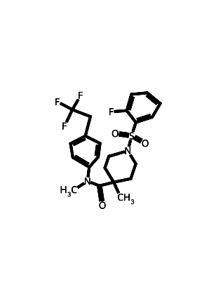 CN(C(=O)C1(C)CCN(S(=O)(=O)c2ccccc2F)CC1)c1ccc(CC(F)(F)F)cc1